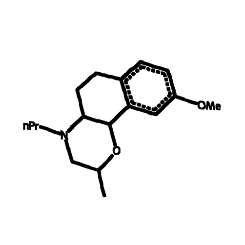 CCCN1CC(C)OC2c3cc(OC)ccc3CCC21